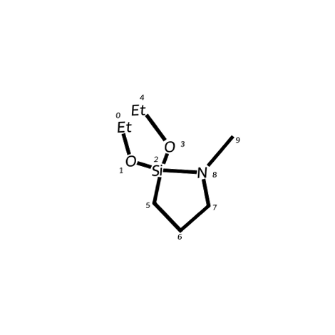 CCO[Si]1(OCC)CCCN1C